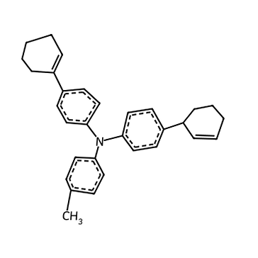 Cc1ccc(N(c2ccc(C3=CCCCC3)cc2)c2ccc(C3C=CCCC3)cc2)cc1